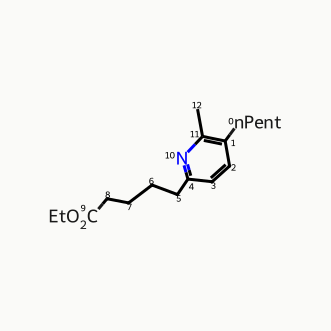 CCCCCc1ccc(CCCCC(=O)OCC)nc1C